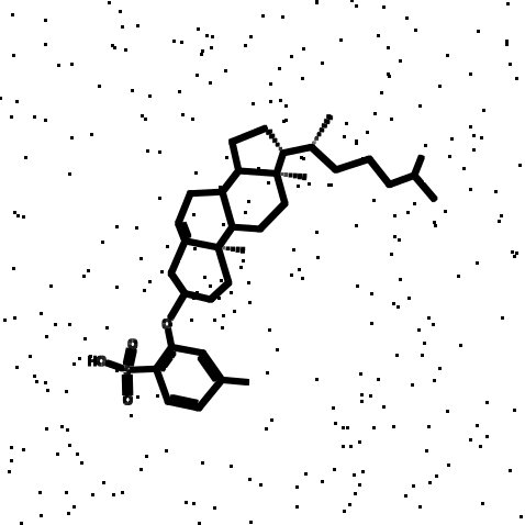 Cc1ccc(S(=O)(=O)O)c(OC2CC[C@@]3(C)C(=CCC4C3CC[C@@]3(C)C4CC[C@@H]3[C@H](C)CCCC(C)C)C2)c1